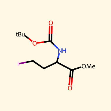 COC(=O)C(CCI)NC(=O)OC(C)(C)C